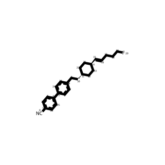 N#Cc1ccc(-c2ccc(CC[C@H]3CC[C@H](C=CCCCF)CC3)cc2)cc1